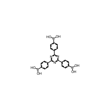 OB(O)c1ccc(-c2nc(-c3ccc(B(O)O)cc3)nc(-c3ccc(B(O)O)cc3)n2)cc1